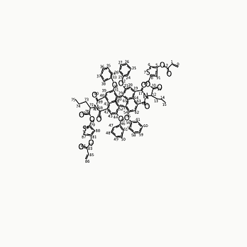 C=CC(=O)Oc1csc(OC(=O)C(CCC)N2C(=O)c3cc(Oc4ccccc4)c4c5c(Oc6ccccc6)cc6c7c(cc(Oc8ccccc8)c(c8c(Oc9ccccc9)cc(c3c48)C2=O)c75)C(=O)N(C(CCC)C(=O)Oc2cc(OC(=O)C=C)cs2)C6=O)c1